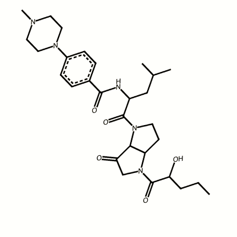 CCCC(O)C(=O)N1CC(=O)C2C1CCN2C(=O)C(CC(C)C)NC(=O)c1ccc(N2CCN(C)CC2)cc1